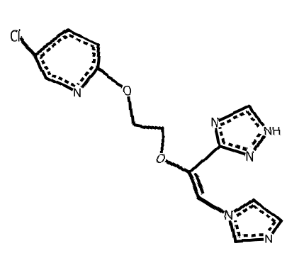 Clc1ccc(OCCOC(=Cn2ccnc2)c2nc[nH]n2)nc1